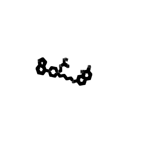 CCCC(=O)OC[N+]1(CCCCOc2ccc3ccc(=O)[nH]c3c2)CCN(c2cccc3sccc23)CC1